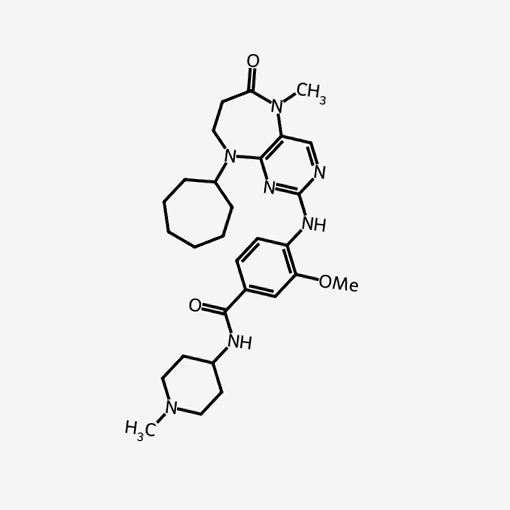 COc1cc(C(=O)NC2CCN(C)CC2)ccc1Nc1ncc2c(n1)N(C1CCCCCC1)CCC(=O)N2C